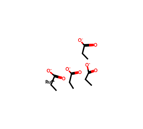 CCC(=O)[O-].CCC(=O)[O-].CCC(=O)[O-].CCC(=O)[O-].[Ru+4]